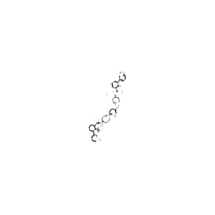 Cc1c(C(=O)NC2CCN(Cc3ccc(N4CCC(NC(=O)c5cccc(-c6cccnc6)c5F)CC4)nc3)CC2)cccc1-c1cccnc1